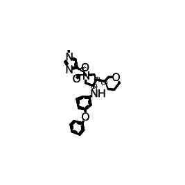 Cn1cnc(S(=O)(=O)N2C[C@@H]([C@@H]3CCCOC3)[C@H](Nc3cccc(Oc4ccccc4)c3)C2)c1